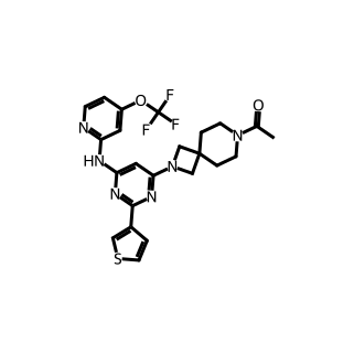 CC(=O)N1CCC2(CC1)CN(c1cc(Nc3cc(OC(F)(F)F)ccn3)nc(-c3ccsc3)n1)C2